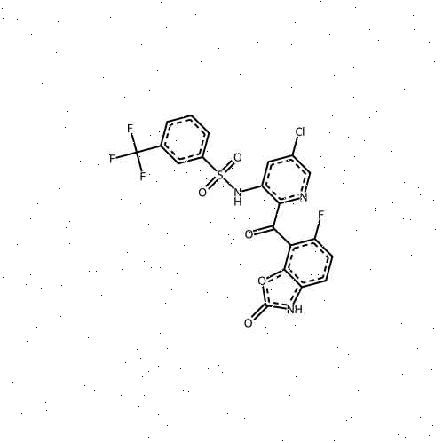 O=C(c1ncc(Cl)cc1NS(=O)(=O)c1cccc(C(F)(F)F)c1)c1c(F)ccc2[nH]c(=O)oc12